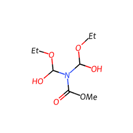 CCOC(O)N(C(=O)OC)C(O)OCC